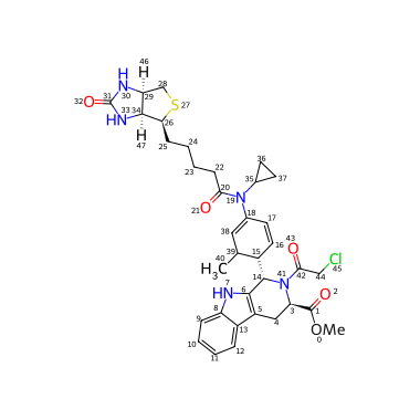 COC(=O)[C@H]1Cc2c([nH]c3ccccc23)[C@H](C2C=CC(N(C(=O)CCCC[C@@H]3SC[C@@H]4NC(=O)N[C@@H]43)C3CC3)=CC2C)N1C(=O)CCl